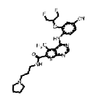 Cc1c(C(=O)NCCCN2CCCC2)sc2ncnc(Nc3ccc(C#N)cc3OC(CF)CF)c12